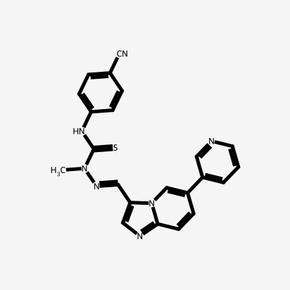 CN(N=Cc1cnc2ccc(-c3cccnc3)cn12)C(=S)Nc1ccc(C#N)cc1